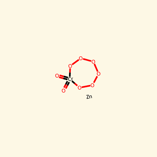 [O]=[Cr]1(=[O])[O]OOOO[O]1.[Zn]